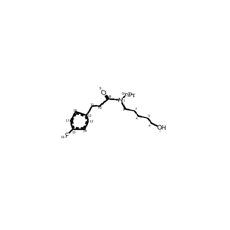 CCCN(CCCCCO)C(=O)CCc1ccc(F)cc1